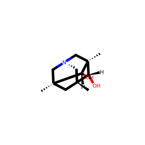 C[C@]12C[N@@]3C[C@](C)(C1)[C@@H](O)[C@@](C)(C3)[C@@H]2O